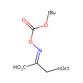 CCCCCCCCCC(=NOC(=O)OC(C)(C)C)C(=O)O